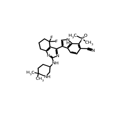 CC1(C)CCC(Nc2nc3c(c(-c4c[nH]c5c(P(C)(C)=O)c(C#N)ccc45)n2)C(F)(F)CCC3)CN1